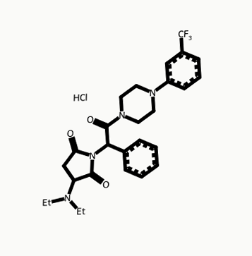 CCN(CC)C1CC(=O)N(C(C(=O)N2CCN(c3cccc(C(F)(F)F)c3)CC2)c2ccccc2)C1=O.Cl